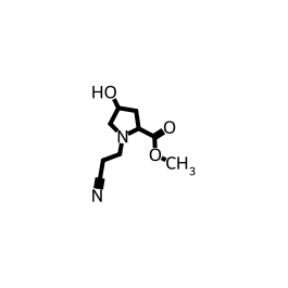 COC(=O)C1CC(O)CN1CCC#N